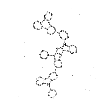 c1ccc(-n2c3ccccc3c3cc(-c4ccc5c(c4)n(-c4ccccc4)c4nc6c(c7ccccc7n6-c6cccc(-c7ccc8c9ccccc9c9ccccc9c8c7)c6)n54)ccc32)cc1